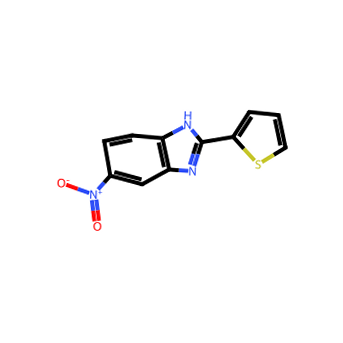 O=[N+]([O-])c1ccc2[nH]c(-c3cccs3)nc2c1